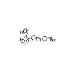 CCCN[C@H]1CC[C@H](NCc2ccc(C(=O)N(Cc3ncc[nH]3)Cc3ncc[nH]3)cc2)CC1